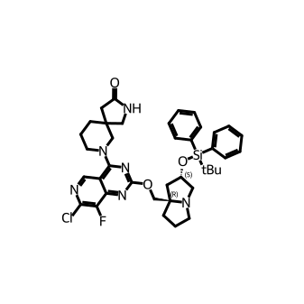 CC(C)(C)[Si](O[C@@H]1CN2CCC[C@]2(COc2nc(N3CCCC4(CNC(=O)C4)C3)c3cnc(Cl)c(F)c3n2)C1)(c1ccccc1)c1ccccc1